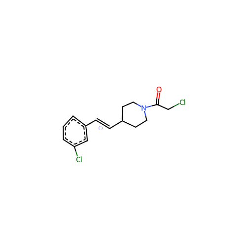 O=C(CCl)N1CCC(/C=C/c2cccc(Cl)c2)CC1